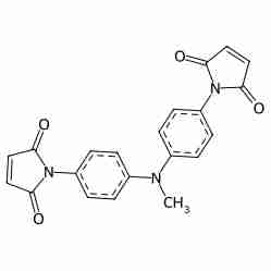 CN(c1ccc(N2C(=O)C=CC2=O)cc1)c1ccc(N2C(=O)C=CC2=O)cc1